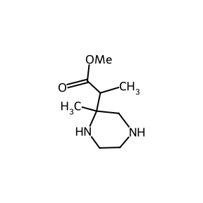 COC(=O)C(C)C1(C)CNCCN1